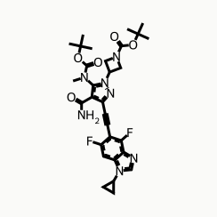 CN(C(=O)OC(C)(C)C)c1c(C(N)=O)c(C#Cc2c(F)cc3c(ncn3C3CC3)c2F)nn1C1CN(C(=O)OC(C)(C)C)C1